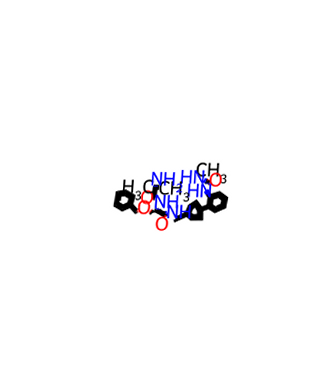 CNC(=O)Nc1ccccc1-c1ccc(CNC(=O)[C@@H](COCc2ccccc2)NC(=O)C(C)(C)N)cc1